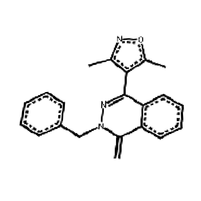 C=C1c2ccccc2C(c2c(C)noc2C)=NN1Cc1ccccc1